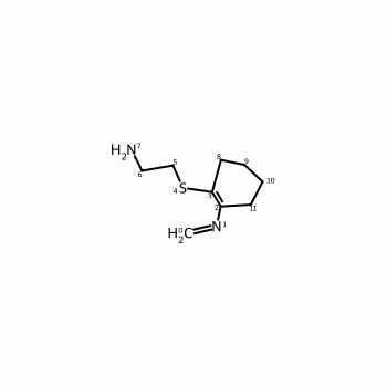 C=NC1=C(SCCN)CCCC1